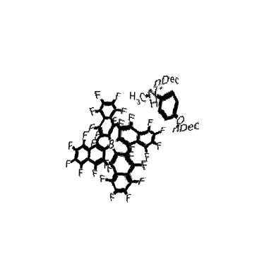 CCCCCCCCCCOc1ccc([NH+](C)CCCCCCCCCC)cc1.Fc1c(F)c(F)c2c(F)c([B-](c3c(F)c(F)c4c(F)c(F)c(F)c(F)c4c3F)(c3c(F)c(F)c4c(F)c(F)c(F)c(F)c4c3F)c3c(F)c(F)c4c(F)c(F)c(F)c(F)c4c3F)c(F)c(F)c2c1F